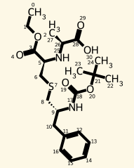 CCOC(=O)[C@H](CSC[C@@H](Cc1ccccc1)NC(=O)OC(C)(C)C)N[C@@H](C)C(=O)O